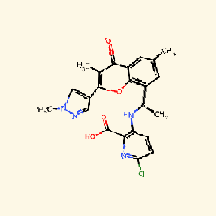 Cc1cc([C@@H](C)Nc2ccc(Cl)nc2C(=O)O)c2oc(-c3cnn(C)c3)c(C)c(=O)c2c1